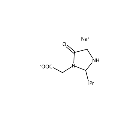 CC(C)C1NCC(=O)N1CC(=O)[O-].[Na+]